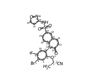 C[C@@H](C#N)Oc1cc(Br)c(F)cc1-n1c(=O)ccc2cc(S(=O)(=O)Nc3ccon3)ccc21